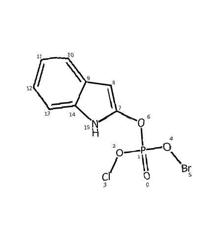 O=P(OCl)(OBr)Oc1cc2ccccc2[nH]1